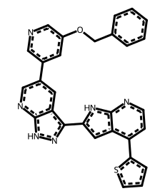 c1ccc(COc2cncc(-c3cnc4[nH]nc(-c5cc6c(-c7cccs7)ccnc6[nH]5)c4c3)c2)cc1